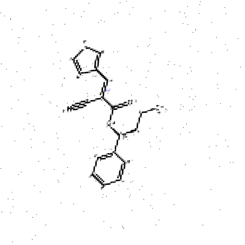 CCC[C@H](NC(=O)/C(C#N)=C/c1ccsc1)c1ccccc1